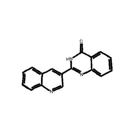 O=c1[nH]c(-c2cnc3ccccc3c2)nc2ccccc12